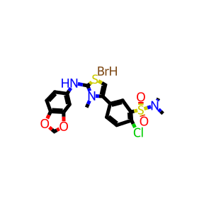 Br.CN1C(c2ccc(Cl)c(S(=O)(=O)N(C)C)c2)=CSC1Nc1ccc2c(c1)OCO2